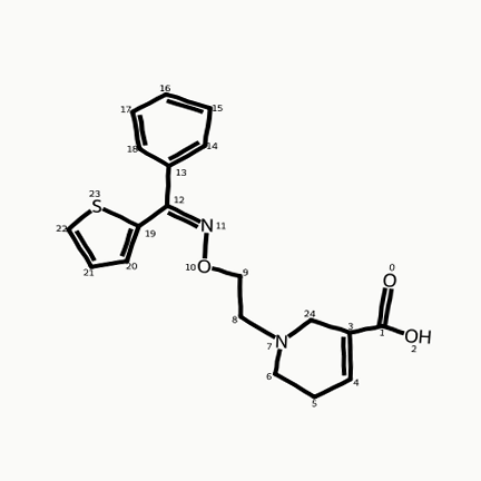 O=C(O)C1=CCCN(CCON=C(c2ccccc2)c2cccs2)C1